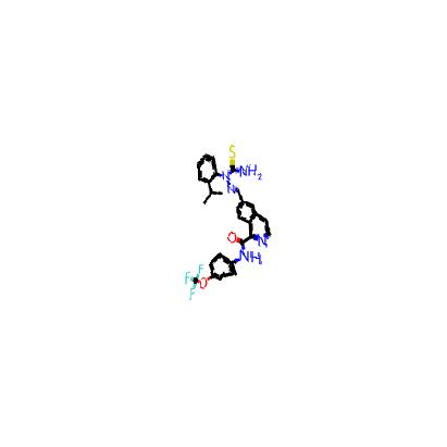 CC(C)c1ccccc1N(/N=C/c1ccc2c(C(=O)Nc3ccc(OC(F)(F)F)cc3)nccc2c1)C(N)=S